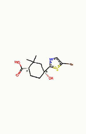 CC1(C)C[C@@](O)(c2ncc(Br)s2)CC[C@@H]1C(=O)O